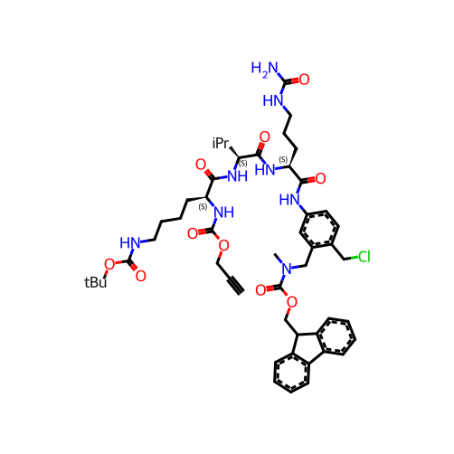 C#CCOC(=O)N[C@@H](CCCCNC(=O)OC(C)(C)C)C(=O)N[C@H](C(=O)N[C@@H](CCCNC(N)=O)C(=O)Nc1ccc(CCl)c(CN(C)C(=O)OCC2c3ccccc3-c3ccccc32)c1)C(C)C